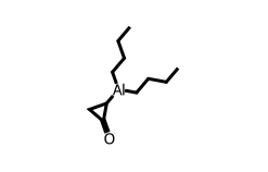 CCC[CH2][Al]([CH2]CCC)[CH]1CC1=O